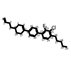 C=CCCC1CC=C(c2ccc(-c3ccc(CCCCC)c(Cl)c3F)cc2)CC1